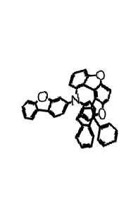 c1ccc(-c2ccc(N(c3ccc4c(c3)oc3ccccc34)c3cccc4oc5ccc6oc7c8ccccc8ccc7c6c5c34)cc2)cc1